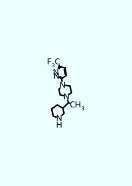 CC(C1CCCNC1)N1CCN(c2ccc(C(F)(F)F)nn2)CC1